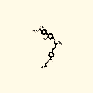 CC(CCc1ccc(C(=O)NCCC(=O)O)cc1)COc1ccc(-c2ccc(C(C)C)cc2)c(O)c1